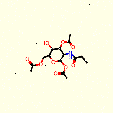 CCC(=O)NC1C(OC(C)=O)OC(COC(C)=O)C(O)C1OC(C)=O